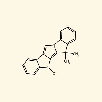 CC1(C)c2ccccc2-n2cc3c4ccccc4[s+]([O-])c3c21